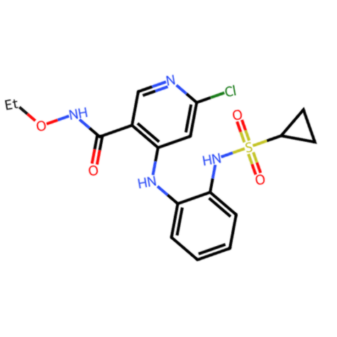 CCONC(=O)c1cnc(Cl)cc1Nc1ccccc1NS(=O)(=O)C1CC1